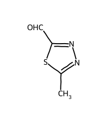 Cc1nnc(C=O)s1